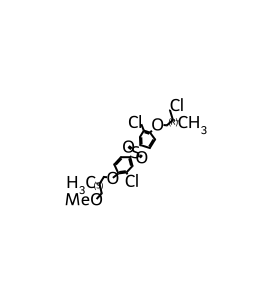 COC[C@H](C)COc1ccc(S(=O)(=O)c2ccc(OC[C@@H](C)CCl)c(Cl)c2)cc1Cl